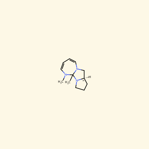 CN1C=CC=CN2C[C@H]3CCCN3C12C